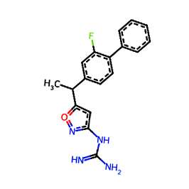 CC(c1ccc(-c2ccccc2)c(F)c1)c1cc(NC(=N)N)no1